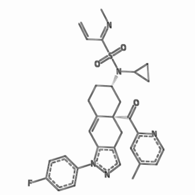 C=C/C(=N\C)S(=O)(=O)N(C1CC1)[C@H]1CCC2=Cc3c(cnn3-c3ccc(F)cc3)C[C@]2(C(=O)c2cc(C)ccn2)C1